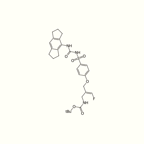 CC(C)(C)OC(=O)NCC(=CF)COc1ccc(S(=O)(=O)NC(=O)Nc2c3c(cc4c2CCC4)CCC3)cc1